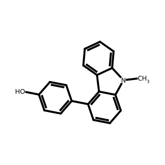 Cn1c2ccccc2c2c(-c3ccc(O)cc3)cccc21